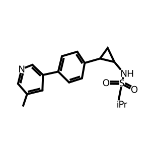 Cc1cncc(-c2ccc(C3CC3NS(=O)(=O)C(C)C)cc2)c1